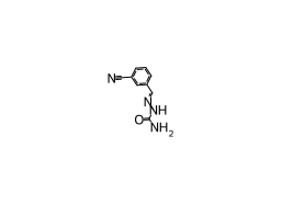 N#Cc1cccc(/C=N/NC(N)=O)c1